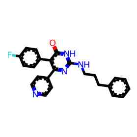 O=c1[nH]c(NCCCc2ccccc2)nc(-c2ccncc2)c1-c1ccc(F)cc1